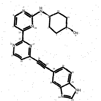 O[C@H]1CC[C@@H](Nc2nccc(-c3nccc(C#Cc4ccc5[nH]cnc5c4)n3)n2)CC1